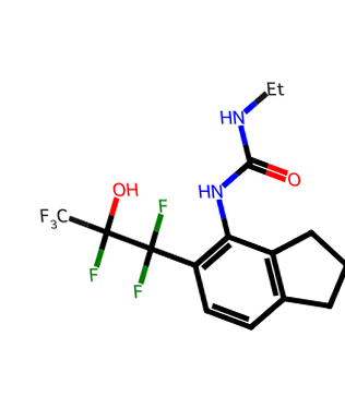 CCNC(=O)Nc1c(C(F)(F)C(O)(F)C(F)(F)F)ccc2c1CCC2